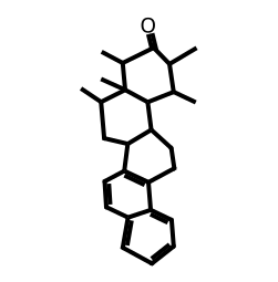 CC1C(=O)C(C)C2(C)C(C)CC3c4ccc5ccccc5c4CCC3C2C1C